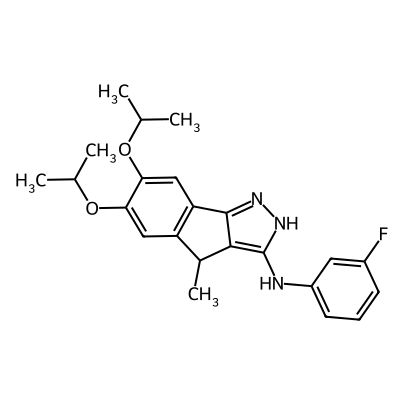 CC(C)Oc1cc2c(cc1OC(C)C)C(C)c1c-2n[nH]c1Nc1cccc(F)c1